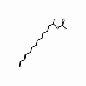 C=CC=CCCCCCCCCC(C)OC(C)=O